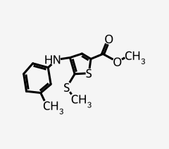 COC(=O)c1cc(Nc2cccc(C)c2)c(SC)s1